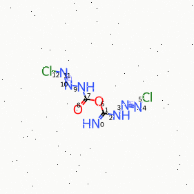 N=C(N/N=N/Cl)OC(=O)N/N=N/Cl